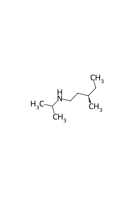 CC[C@@H](C)CCNC(C)C